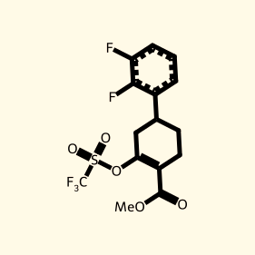 COC(=O)C1=C(OS(=O)(=O)C(F)(F)F)CC(c2cccc(F)c2F)CC1